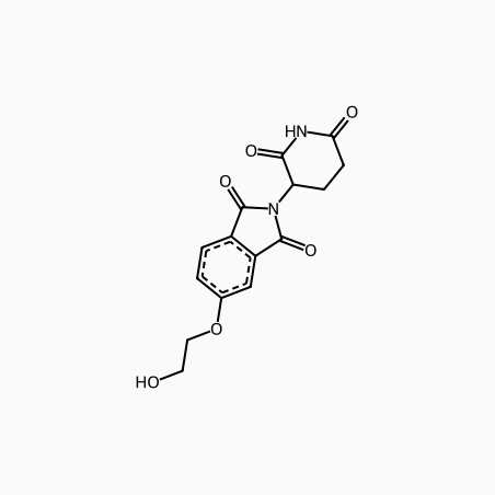 O=C1CCC(N2C(=O)c3ccc(OCCO)cc3C2=O)C(=O)N1